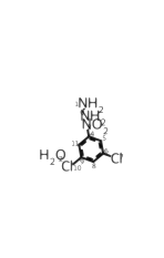 NN.O.O=[N+]([O-])c1cc(Cl)cc(Cl)c1